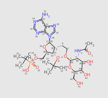 CC(=O)N[C@H]1[C@H](OCC[C@@H]2[C@H](OC(C)(C)C)[C@@H](COP(=O)(O)C(C)(C)C)O[C@H]2n2cnc3c(N)ncnc32)O[C@H](CO)[C@H](O)[C@@H]1O